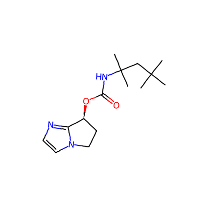 CC(C)(C)CC(C)(C)NC(=O)O[C@H]1CCn2ccnc21